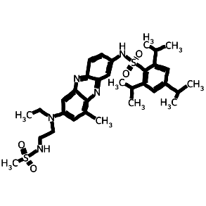 CCN(CCNS(C)(=O)=O)c1cc(C)c2nc3cc(NS(=O)(=O)c4c(C(C)C)cc(C(C)C)cc4C(C)C)ccc3nc2c1